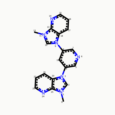 C[n+]1cn(-c2cncc(-n3c[n+](C)c4ncccc43)c2)c2cccnc21